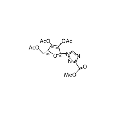 COC(=O)c1ncn([C@H]2O[C@H](COC(C)=O)[C@@H](OC(C)=O)[C@H]2OC(C)=O)n1